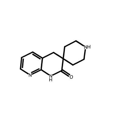 O=C1Nc2ncccc2CC12CCNCC2